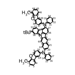 Cc1cccc2c1oc1ccc(N(c3ccccc3)c3ccc4cc5c6ccc(N(c7ccccc7)c7ccc8oc9c(C)cccc9c8c7)c7c8ccc(C(C)(C)C)cc8n(c5cc4c3)c67)cc12